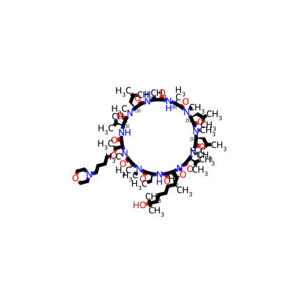 CC[C@@H]1NC(=O)[C@@H]2[C@@H]([C@H](C)CCCCC(C)(C)O)ON2C(=O)[C@H](C(C)C)N(C)C(=O)[C@H](CC(C)C)N(C)C(=O)[C@H](CC(C)C)N(C)C(=O)[C@@H](C)NC(=O)C(C)NC(=O)[C@H](CC(C)C)N(C)C(=O)[C@H](C(C)C)NC(=O)C([C@@H](C)OCCCCN2CCOCC2)N(C)C(=O)[C@@H](C)N(C)C1=O